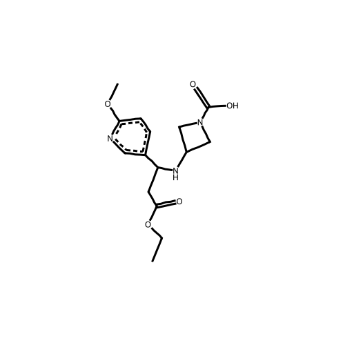 CCOC(=O)CC(NC1CN(C(=O)O)C1)c1ccc(OC)nc1